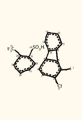 Clc1ccc2c(c1I)-c1ccccc1-2.O=S(=O)(O)c1ccccc1C(F)(F)F